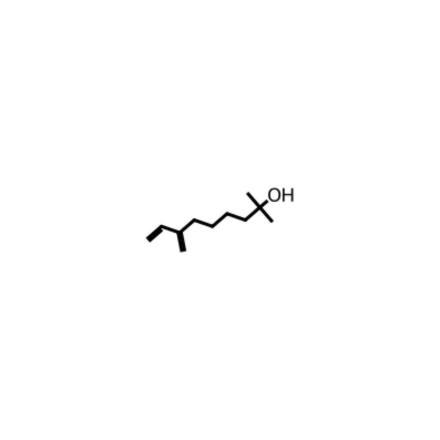 C=CC(=C)CCCCC(C)(C)O